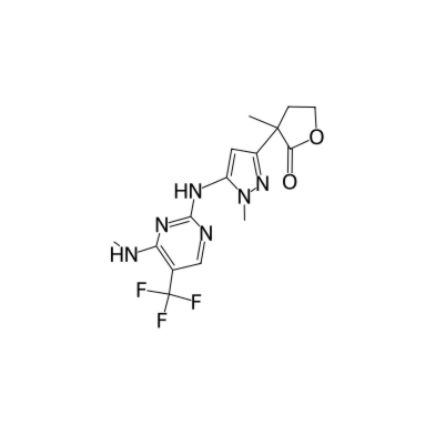 CNc1nc(Nc2cc(C3(C)CCOC3=O)nn2C)ncc1C(F)(F)F